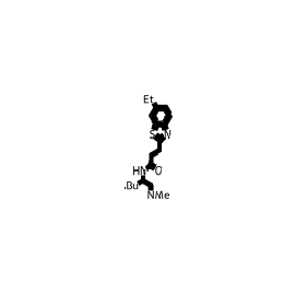 CCc1ccc2nc(CCC(=O)NC(CNC)C(C)CC)sc2c1